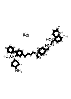 Cl.Cl.NC1CCC(N(C(=O)O)c2cc(CCCCn3cnc4cc(CNC[C@@H](O)c5ccc(O)c6[nH]c(=O)ccc56)ccc43)ccc2-c2ccccc2)CC1